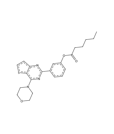 CCCCCC(=O)Oc1cccc(-c2nc(N3CCOCC3)c3sccc3n2)c1